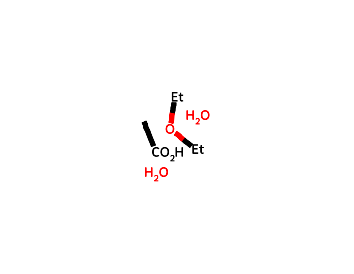 CC(=O)O.CCOCC.O.O